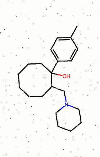 Cc1ccc(C2(O)CCCCCCC2CN2CCCCC2)cc1